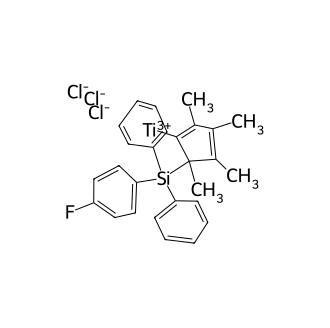 CC1=C(C)C(C)([Si](c2ccccc2)(c2ccccc2)c2ccc(F)cc2)[C]([Ti+3])=C1C.[Cl-].[Cl-].[Cl-]